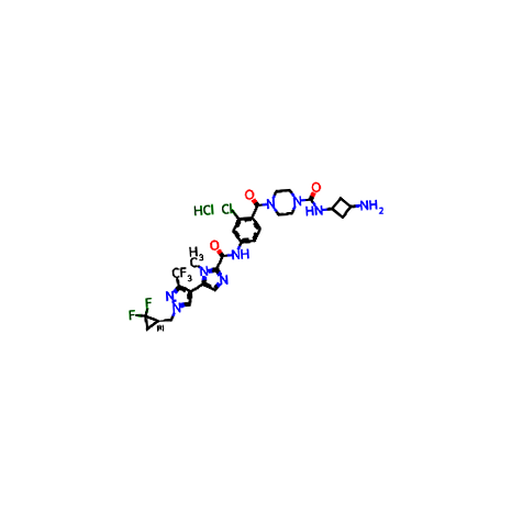 Cl.Cn1c(-c2cn(C[C@H]3CC3(F)F)nc2C(F)(F)F)cnc1C(=O)Nc1ccc(C(=O)N2CCN(C(=O)NC3CC(N)C3)CC2)c(Cl)c1